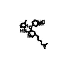 Cc1csc(Nc2ncc(/C=C/CCN(C)C)cc2Oc2ccccc2)n1.Cl.Cl